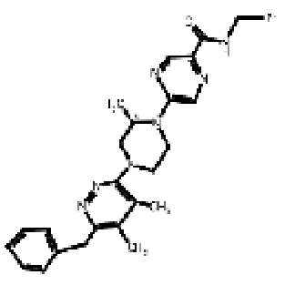 Cc1c(Cc2ccccc2)nnc(N2CCN(c3cnc(C(=O)NCC(C)C)cn3)[C@H](C)C2)c1C